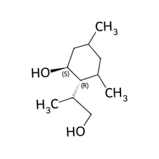 CC1CC(C)[C@H](C(C)CO)[C@@H](O)C1